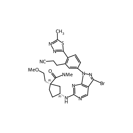 CNC(=O)[C@]1(CCOC)CC[C@@H](Nc2ncc3c(Br)nn(-c4ccc(-c5nnc(C)s5)c(CCC#N)c4)c3n2)C1